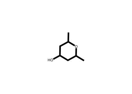 CC1CC(O)CC(C)O1